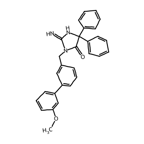 COc1cccc(-c2cccc(CN3C(=N)NC(c4ccccc4)(c4ccccc4)C3=O)c2)c1